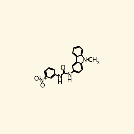 Cn1c2ccccc2c2cc(NC(=O)Nc3cccc([N+](=O)[O-])c3)ccc21